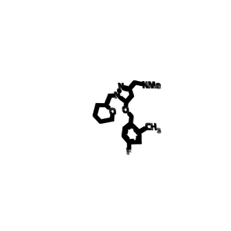 CNCC1=NN(CC2CCCCO2)C(OCc2ccc(F)cc2C)C1